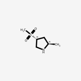 C[C@@H]1C[C@@H](S(C)(=O)=O)CN1